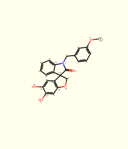 O=C1N(Cc2cccc(OC(F)(F)F)c2)c2ccccc2C12COc1cc(O)c(O)cc12